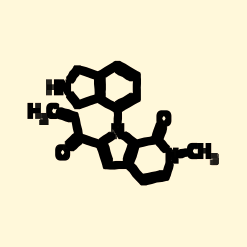 C=CC(=O)c1cc2ccn(C)c(=O)c2n1-c1cccc2c1CNC2